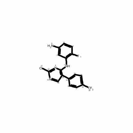 Nc1ccc(F)c(Nc2nc(Cl)ncc2-c2ccc(C(F)(F)F)cc2)c1